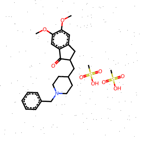 COc1cc2c(cc1OC)C(=O)C(CC1CCN(Cc3ccccc3)CC1)C2.CS(=O)(=O)O.CS(=O)(=O)O